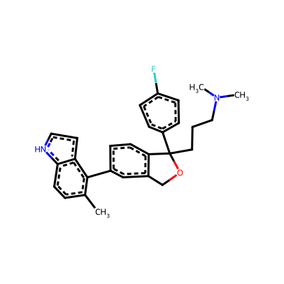 Cc1ccc2[nH]ccc2c1-c1ccc2c(c1)COC2(CCCN(C)C)c1ccc(F)cc1